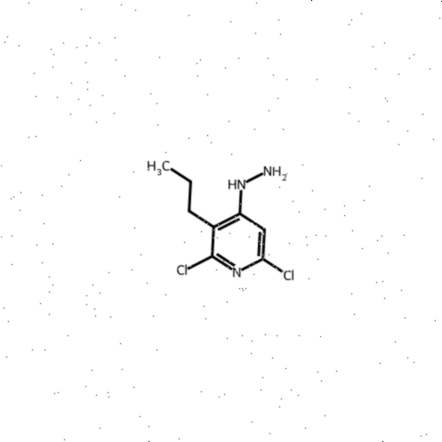 CCCc1c(NN)cc(Cl)nc1Cl